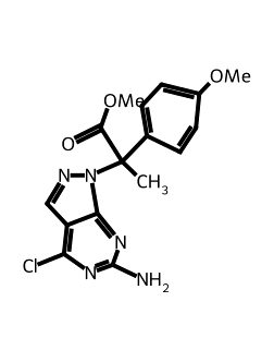 COC(=O)C(C)(c1ccc(OC)cc1)n1ncc2c(Cl)nc(N)nc21